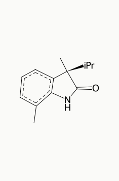 Cc1cccc2c1NC(=O)[C@]2(C)C(C)C